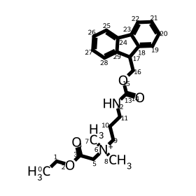 CCOC(=O)C[N+](C)(C)CCCNC(=O)OCC1c2ccccc2-c2ccccc21